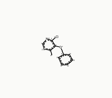 Cc1ncnc(Cl)c1Oc1ccccc1